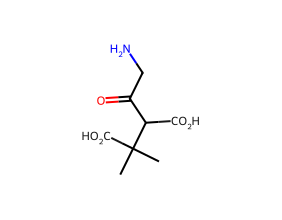 CC(C)(C(=O)O)C(C(=O)O)C(=O)CN